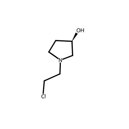 O[C@@H]1CCN(CCCl)C1